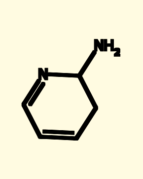 NC1CC=CC=N1